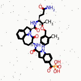 Cc1ccccc1CO[C@H](C)[C@H](CCC(N)=O)NC(=O)[C@@H]1Cc2cccc3c2N1C(=O)[C@@H](NC(=O)c1cc2cc(C(=O)P(=O)(O)O)ccc2[nH]1)CC3